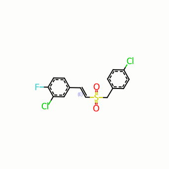 O=S(=O)(/C=C/c1ccc(F)c(Cl)c1)Cc1ccc(Cl)cc1